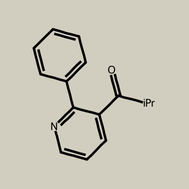 CC(C)C(=O)c1cccnc1-c1ccccc1